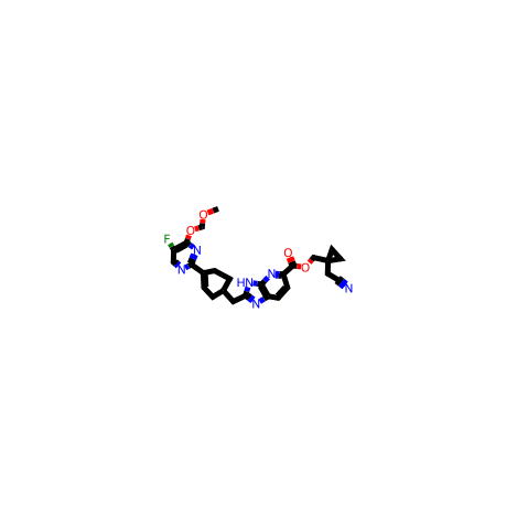 COCOc1nc(C2=CCC(Cc3nc4ccc(C(=O)OCC5(CC#N)CC5)nc4[nH]3)CC2)ncc1F